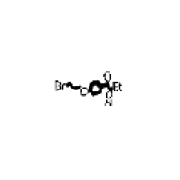 CCC(O)C(=O)c1ccc(OCCCBr)cc1